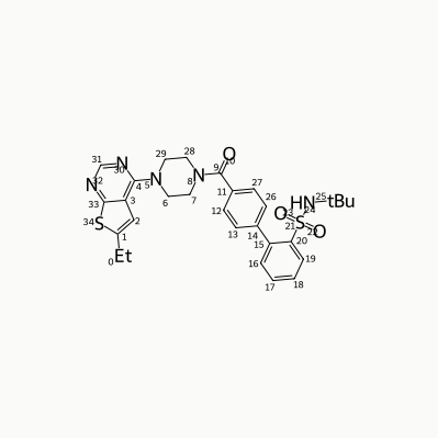 CCc1cc2c(N3CCN(C(=O)c4ccc(-c5ccccc5S(=O)(=O)NC(C)(C)C)cc4)CC3)ncnc2s1